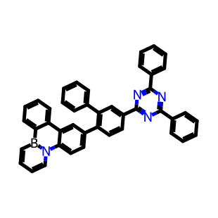 C1=CB2c3ccccc3-c3cc(-c4ccc(-c5nc(-c6ccccc6)nc(-c6ccccc6)n5)cc4-c4ccccc4)ccc3N2C=C1